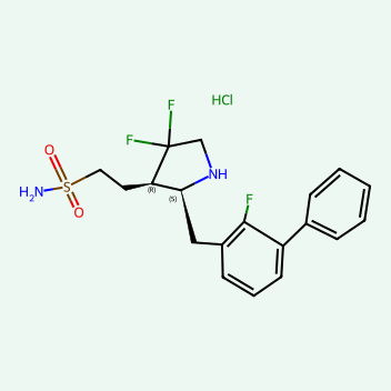 Cl.NS(=O)(=O)CC[C@@H]1[C@H](Cc2cccc(-c3ccccc3)c2F)NCC1(F)F